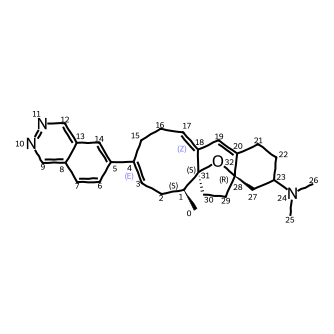 C[C@H]1C/C=C(/c2ccc3cnncc3c2)CC/C=C2/C=C3CCC(N(C)C)C[C@]34CC[C@@]21O4